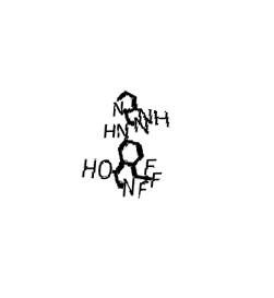 Oc1cnc(C(F)(F)F)c2ccc(Nc3n[nH]c4cccnc34)cc12